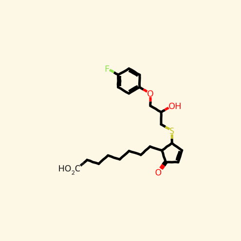 O=C(O)CCCCCCCC1C(=O)C=CC1SCC(O)COc1ccc(F)cc1